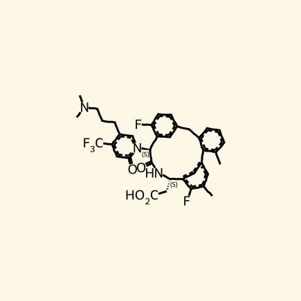 Cc1cc2cc(c1F)[C@H](CC(=O)O)NC(=O)[C@@H](n1cc(CCCN(C)C)c(C(F)(F)F)cc1=O)c1cc(ccc1F)Cc1cccc(C)c1-2